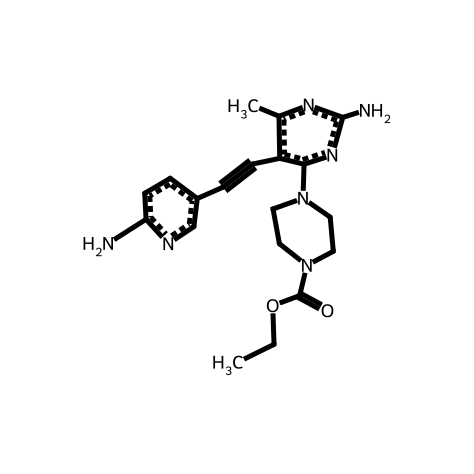 CCOC(=O)N1CCN(c2nc(N)nc(C)c2C#Cc2ccc(N)nc2)CC1